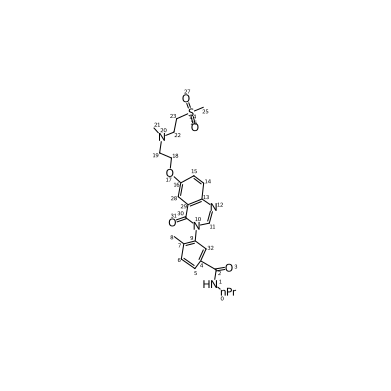 CCCNC(=O)c1ccc(C)c(-n2cnc3ccc(OCCN(C)CCS(C)(=O)=O)cc3c2=O)c1